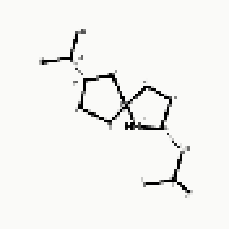 CC(C)C[C@H]1CCC2(CC[C@H](C(C)C)C2)N1